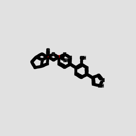 NCCC(=O)N1C2CCC1CC(Oc1ccc(-c3ccc(-c4cn[nH]c4)cc3O)nn1)C2